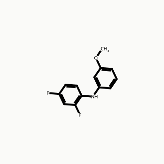 COc1cccc(Nc2ccc(F)cc2F)c1